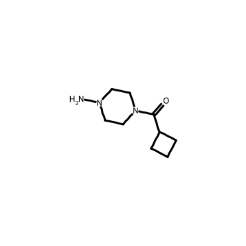 NN1CCN(C(=O)C2CCC2)CC1